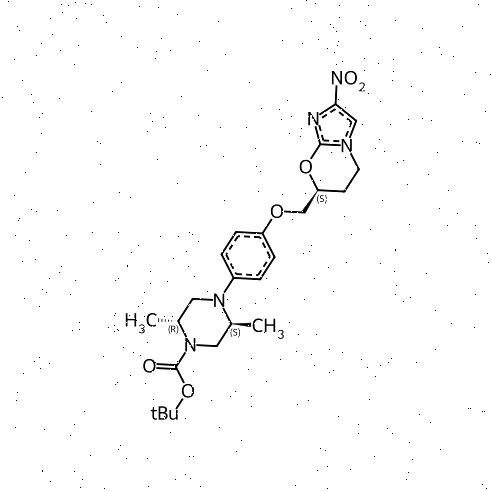 C[C@@H]1CN(c2ccc(OC[C@@H]3CCn4cc([N+](=O)[O-])nc4O3)cc2)[C@@H](C)CN1C(=O)OC(C)(C)C